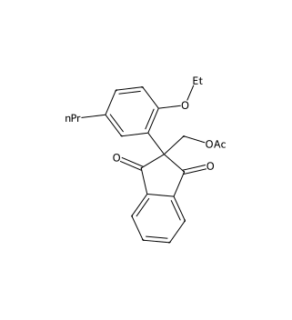 CCCc1ccc(OCC)c(C2(COC(C)=O)C(=O)c3ccccc3C2=O)c1